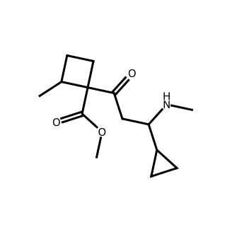 CNC(CC(=O)C1(C(=O)OC)CCC1C)C1CC1